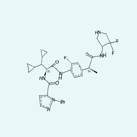 CC(C)n1nccc1C(=O)N[C@H](C(=O)Nc1ccc([C@H](C)C(=O)NC2CNCC2(F)F)cc1F)C(C1CC1)C1CC1